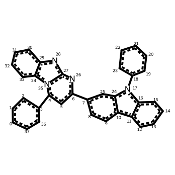 c1ccc(-c2cc(-c3ccc4c5ccccc5n(-c5ccccc5)c4c3)nc3nc4ccccc4n23)cc1